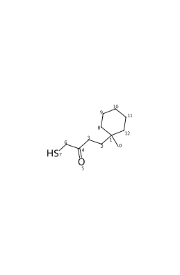 CC1(CCC(=O)CS)CCCCC1